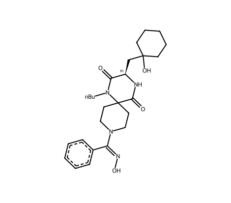 CCCCN1C(=O)[C@@H](CC2(O)CCCCC2)NC(=O)C12CCN(C(=NO)c1ccccc1)CC2